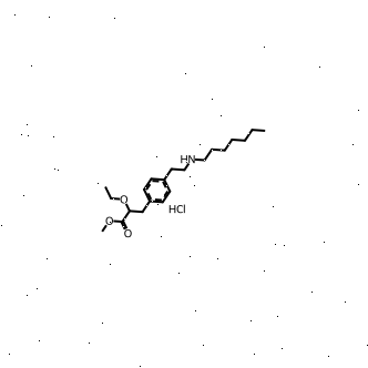 CCCCCCCNCCc1ccc(CC(OCC)C(=O)OC)cc1.Cl